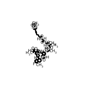 CC[C@@]1(O)C(=O)OCc2c1cc1n(c2=O)Cc2c-1nc1cc(F)c(C)c3c1c2[C@@H](N(Cc1ccc(NC[C@H](C)NC(=O)[C@@H](NC(=O)CNC(=O)CNC(=O)CCCC#Cc2cnc(S(C)(=O)=O)nc2)C(C)C)cc1CNC)C(=O)O)CC3